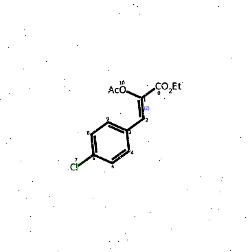 CCOC(=O)/C(=C/c1ccc(Cl)cc1)OC(C)=O